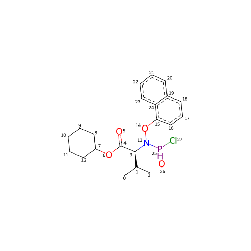 CC(C)[C@@H](C(=O)OC1CCCCC1)N(Oc1cccc2ccccc12)[PH](=O)Cl